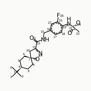 CC(C)(C)[C@H]1CC[C@@]2(CC1)CC(C(=O)NCc1ccc(NS(C)(=O)=O)c(F)c1)=NO2